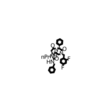 CCCN(C(=O)NCc1ccccc1)N1CC(=O)N2[C@@H](c3ccccc3)C(=O)N(Cc3ccc(F)cc3F)C[C@@H]21